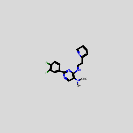 CC(C)N(C=O)c1cnc(-c2ccc(F)c(F)c2)nc1NCCc1ccccn1